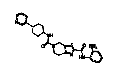 Nc1ccccc1NC(=O)c1nc2c(s1)CN(C(=O)NC1CCC(c3cccnc3)CC1)CC2